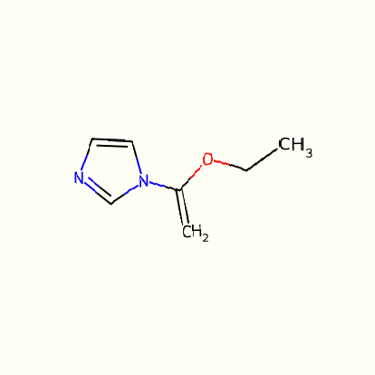 C=C(OCC)n1ccnc1